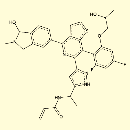 C=CC(=O)NC(C)c1cc(-c2nc(-c3ccc4c(c3)CN(C)C4O)c3ccsc3c2-c2c(F)cc(F)cc2OCC(C)O)n[nH]1